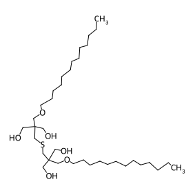 CCCCCCCCCCCCCOCC(CO)(CO)CSCC(CO)(CO)COCCCCCCCCCCCCC